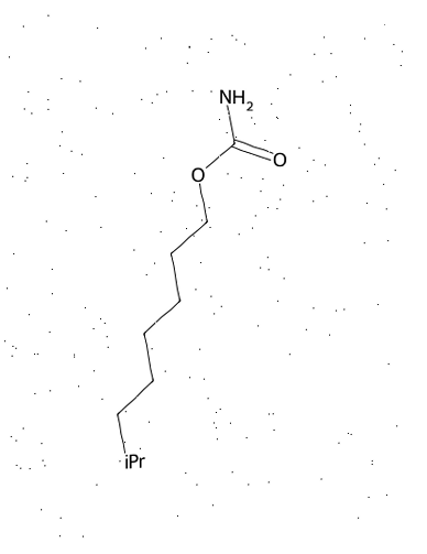 CC(C)CCCCCCOC(N)=O